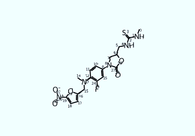 CNC(=S)NCC1CN(c2ccc(N(C)Cc3ccc([N+](=O)[O-])o3)c(F)c2)C(=O)O1